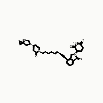 O=C1CCC(N2Cc3c(C#CCCCCCCn4ccc([C@@H]5CNC6(CC6)C5)cc4=O)cccc3C2=O)C(=O)N1